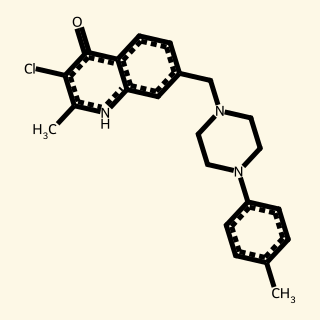 Cc1ccc(N2CCN(Cc3ccc4c(=O)c(Cl)c(C)[nH]c4c3)CC2)cc1